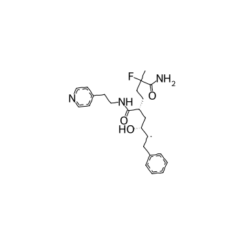 CC(F)(CC[C@H](C[C@@H](O)[CH]Cc1ccccc1)C(=O)NCCc1ccncc1)C(N)=O